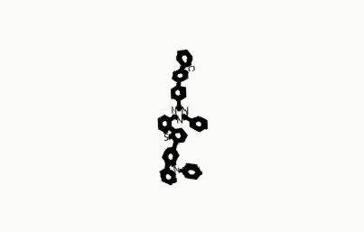 c1ccc(-c2nc(-c3ccc(-c4ccc5c(c4)oc4ccccc45)cc3)nc(-c3cccc4sc5c(-c6ccc7c8ccccc8n(-c8ccccc8)c7c6)cccc5c34)n2)cc1